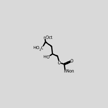 CCCCCCCCCC(=O)OCC(O)CC(CCCCCCCC)C(=O)O